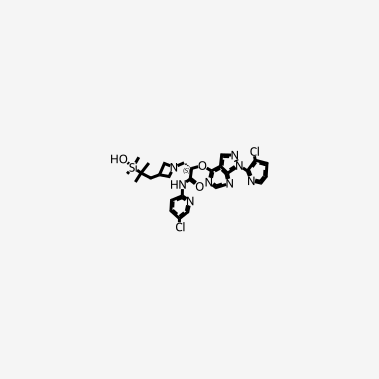 CC(C)(CC1CN(C[C@H](Oc2ncnc3c2cnn3-c2ncccc2Cl)C(=O)Nc2ccc(Cl)cn2)C1)[Si](C)(C)O